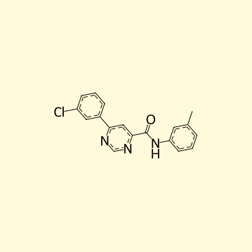 Cc1cccc(NC(=O)c2cc(-c3cccc(Cl)c3)ncn2)c1